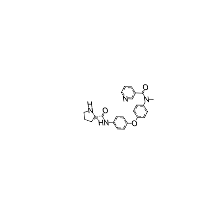 CN(C(=O)c1cccnc1)c1ccc(Oc2ccc(NC(=O)[C@@H]3CCCN3)cc2)cc1